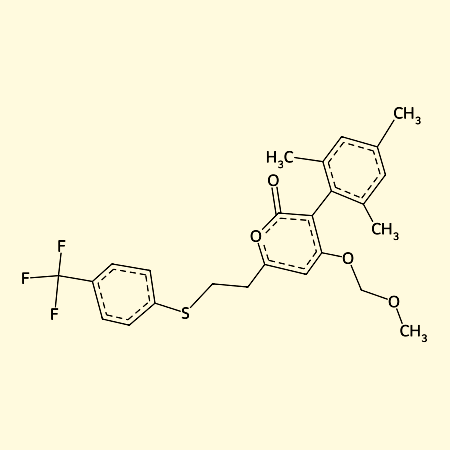 COCOc1cc(CCSc2ccc(C(F)(F)F)cc2)oc(=O)c1-c1c(C)cc(C)cc1C